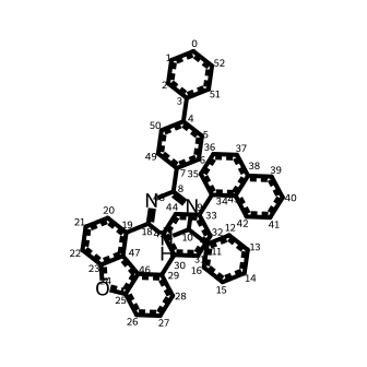 c1ccc(-c2ccc(C3=NC(c4ccccc4)NC(c4cccc5oc6cccc(-c7ccc(-c8cccc9ccccc89)cc7)c6c45)=N3)cc2)cc1